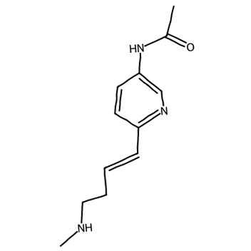 CNCCC=Cc1ccc(NC(C)=O)cn1